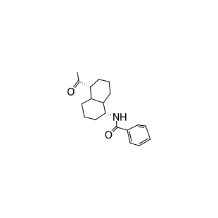 CC(=O)[C@@H]1CCCC2C1CCC[C@H]2NC(=O)c1ccccc1